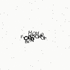 CC(C)(C)OC(=O)N1CCC(C(=O)O)(c2cnn3c2[nH]c2cc(F)cc(Br)c23)CC1